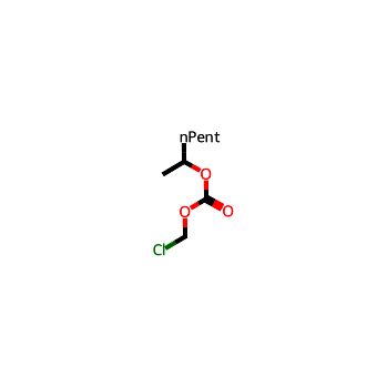 CCCCCC(C)OC(=O)OCCl